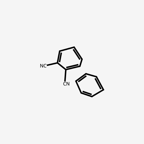 N#Cc1ccccc1C#N.c1ccccc1